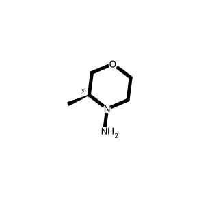 C[C@H]1COCCN1N